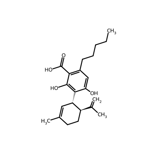 C=C(C)[C@H]1CCC(C)=C[C@@H]1c1c(O)cc(CCCCC)c(C(=O)O)c1O